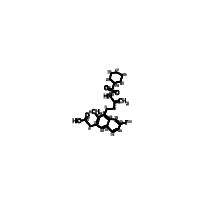 C=C(CCc1c(C)c(CC(=O)O)cc2ccc(F)cc12)NS(=O)(=O)C1CCCCC1